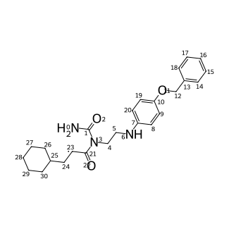 NC(=O)N(CCNc1ccc(OCc2ccccc2)cc1)C(=O)[CH]CC1CCCCC1